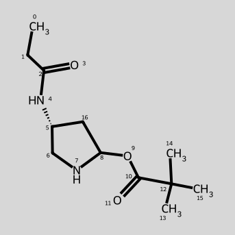 CCC(=O)N[C@H]1CNC(OC(=O)C(C)(C)C)C1